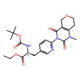 CCOC(=O)[C@H](Cc1ccc(-n2c(=O)c3c(n(C)c2=O)CCOC3)nc1)NC(=O)OC(C)(C)C